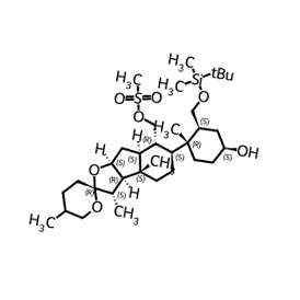 CC1CC[C@@]2(OC1)O[C@H]1C[C@H]3[C@H](COS(C)(=O)=O)[C@@H]([C@@]4(C)CC[C@H](O)C[C@@H]4CO[Si](C)(C)C(C)(C)C)CC[C@]3(C)[C@H]1[C@@H]2C